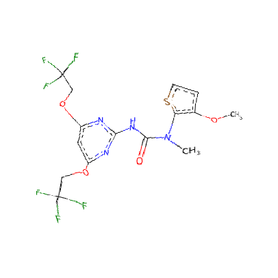 COc1ccsc1N(C)C(=O)Nc1nc(OCC(F)(F)F)cc(OCC(F)(F)F)n1